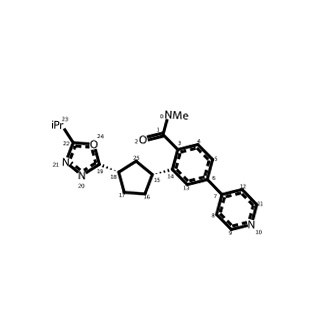 CNC(=O)c1ccc(-c2ccncc2)cc1[C@@H]1CC[C@H](c2nnc(C(C)C)o2)C1